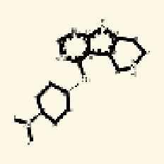 CN(C)[C@H]1CC[C@H](Oc2ncnc3sc4c(c23)CNCC4)CC1